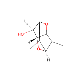 CC1C2OC3C(C)[C@H]1O[C@@H]3[C@H]2O